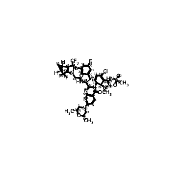 C[C@@H]1CN(c2ccc3c(=O)n(C4C=CC(Cl)=C5C(NS(C)(=O)=O)=NN(C)C54)c([C@H](Cc4cc(F)cc(F)c4)NC(=O)Cn4nc(C(F)(F)F)c5c4C(F)(F)[C@@H]4C[C@H]54)nc3n2)C[C@H](C)O1